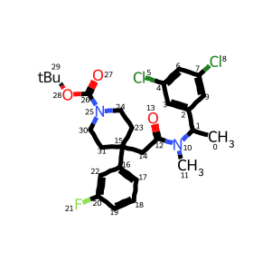 CC(c1cc(Cl)cc(Cl)c1)N(C)C(=O)CC1(c2cccc(F)c2)CCN(C(=O)OC(C)(C)C)CC1